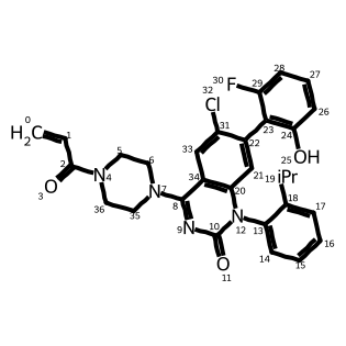 C=CC(=O)N1CCN(c2nc(=O)n(-c3ccccc3C(C)C)c3cc(-c4c(O)cccc4F)c(Cl)cc23)CC1